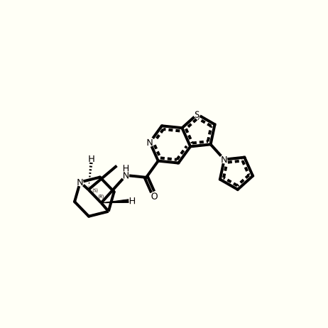 C[C@H]1[C@H](NC(=O)c2cc3c(-n4cccc4)csc3cn2)C2CCN1CC2